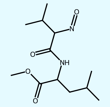 COC(=O)C(CC(C)C)NC(=O)C(N=O)C(C)C